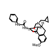 COc1ccc2c(c1)[C@]13CCN(CC4CC4)[C@H](C2)[C@]12CC[C@@](NC(=O)Nc1ccccc1)(CO2)C3